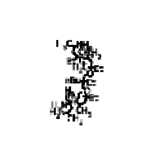 CCCCC(CC)(COC(C)(CC)CC(C)OC(C)(N)CC(C)N)COC(C)(CC)CC(C)OC(C)(CC)CC(C)N